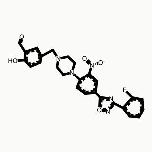 O=Cc1cc(CN2CCN(c3ccc(-c4nc(-c5ccccc5F)no4)cc3[N+](=O)[O-])CC2)ccc1O